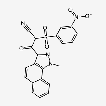 Cn1nc(C(=O)C(C#N)S(=O)(=O)c2cccc([N+](=O)[O-])c2)c2ccc3ccccc3c21